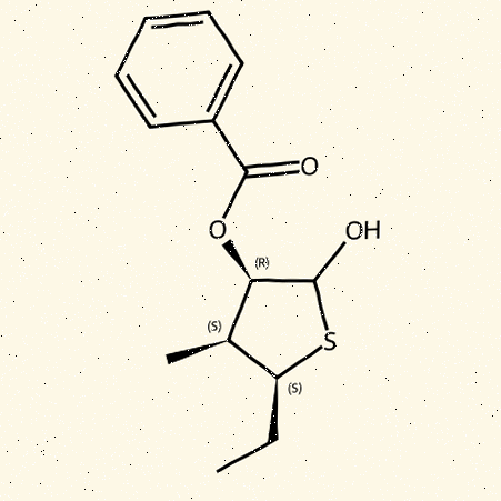 CC[C@@H]1SC(O)[C@H](OC(=O)c2ccccc2)[C@@H]1C